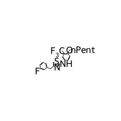 CCCCCOc1ccc(Nc2nc(Cc3cccc(F)c3)cs2)cc1C(F)(F)F